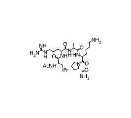 CC(=O)N[C@@H](CC(C)C)C(=O)N[C@@H](CCCNC(=N)N)C(=O)N[C@@H](C)C(=O)N[C@@H](CCCCN)C(=O)N1CCC[C@H]1C(N)=O